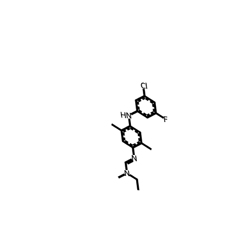 CCN(C)C=Nc1cc(C)c(Nc2cc(F)cc(Cl)c2)cc1C